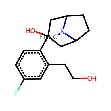 CCOC(=O)N1C2CCC1CC(O)(c1ccc(F)cc1CCO)C2